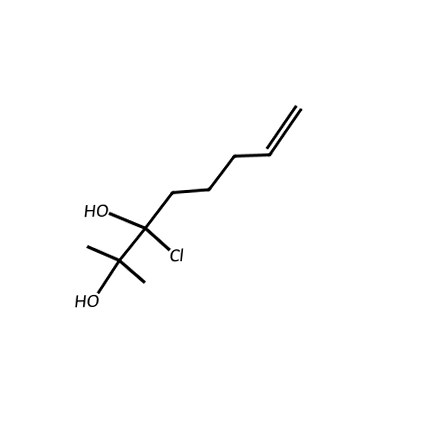 C=CCCCC(O)(Cl)C(C)(C)O